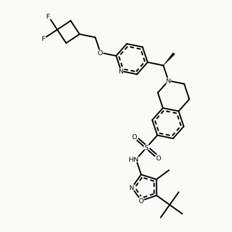 Cc1c(NS(=O)(=O)c2ccc3c(c2)CN([C@H](C)c2ccc(OCC4CC(F)(F)C4)nc2)CC3)noc1C(C)(C)C